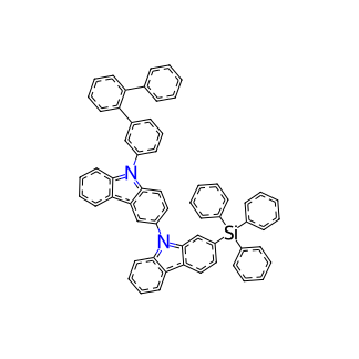 c1ccc(-c2ccccc2-c2cccc(-n3c4ccccc4c4cc(-n5c6ccccc6c6ccc([Si](c7ccccc7)(c7ccccc7)c7ccccc7)cc65)ccc43)c2)cc1